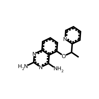 CC(Oc1cccc2nc(N)nc(N)c12)c1ccccn1